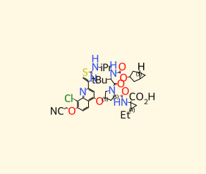 CC[C@@H]1CC1(NC(=O)[C@@H]1C[C@H](Oc2cc(-c3csc(NC(C)C)n3)nc3c(Cl)c(OCC#N)ccc23)CN1C(=O)C(NC(=O)OC1CC2C[C@H]2C1)C(C)(C)C)C(=O)O